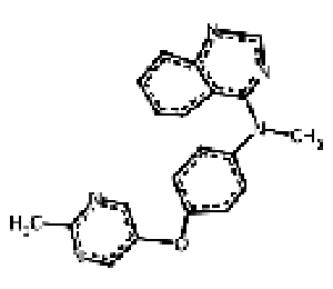 Cc1ncc(Oc2ccc(N(C)c3ncnc4ccccc34)cc2)cn1